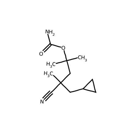 CC(C#N)(CC1CC1)CC(C)(C)OC(N)=O